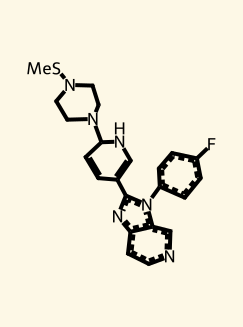 CSN1CCN(C2C=CC(c3nc4ccncc4n3-c3ccc(F)cc3)=CN2)CC1